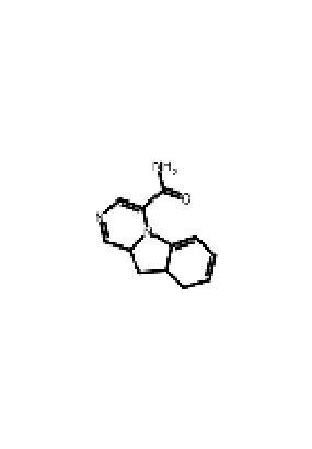 NC(=O)C1=CN=CC2CC3CC=CC=C3N12